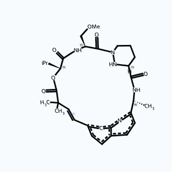 COC[C@@H]1NC(=O)[C@H](C(C)C)OC(=O)C(C)(C)/C=C/c2ccc3ccc(nc3c2)[C@@H](C)NC(=O)[C@@H]2CCCN(N2)C1=O